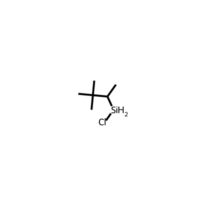 CC([SiH2]Cl)C(C)(C)C